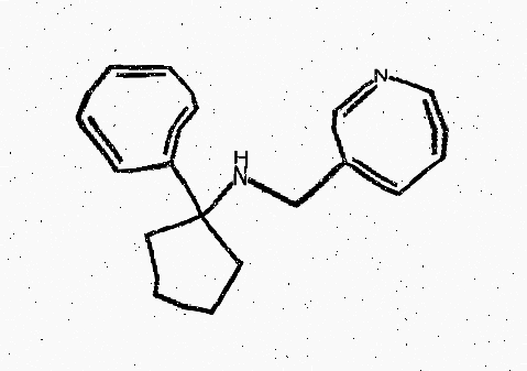 c1ccc(C2(NCc3cccnc3)CCCC2)cc1